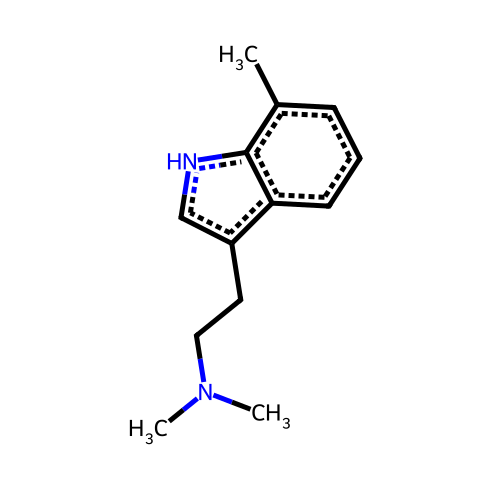 Cc1cccc2c(CCN(C)C)c[nH]c12